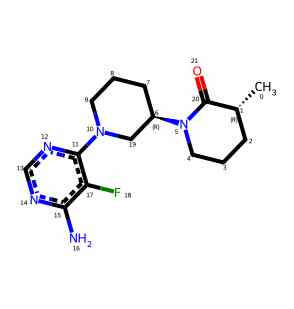 C[C@@H]1CCCN([C@@H]2CCCN(c3ncnc(N)c3F)C2)C1=O